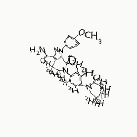 [2H]c1c([2H])c(N2C(=O)c3c(c(C(N)=O)nn3-c3ccc(OC)cc3)C([2H])([2H])C2([2H])[2H])c([2H])c([2H])c1N1CC([2H])([2H])C([2H])([2H])C([2H])([2H])C1=O